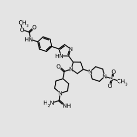 COC(=O)Nc1ccc(-c2cnc(C3CC(N4CCN(S(C)(=O)=O)CC4)CN3C(=O)C3CCN(C(=N)N)CC3)[nH]2)cc1